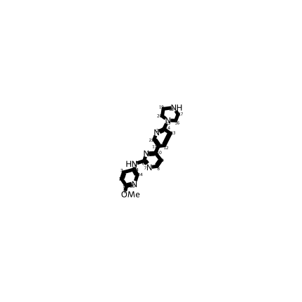 COc1ccc(Nc2nccc(-c3ccc(N4CCNCC4)nc3)n2)cn1